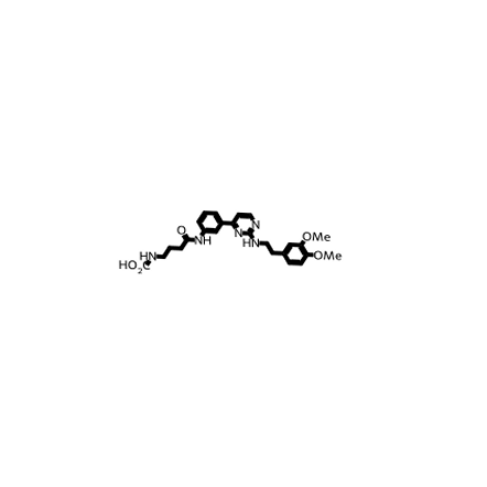 COc1ccc(CCNc2nccc(-c3cccc(NC(=O)CCCNC(=O)O)c3)n2)cc1OC